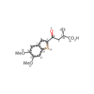 CC[C@H](CC(=O)c1cc2cc(OC)c(OC)cc2s1)C(=O)O